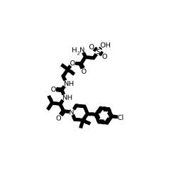 CC(C)C(NC(=O)NCC(C)(C)OC(=O)C(N)CS(=O)(=O)O)C(=O)N1CCC(c2ccc(Cl)cc2)C(C)(C)C1